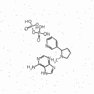 CN1CCCC1c1cccnc1.Nc1ncnc2nc[nH]c12.O=P(O)(O)OP(=O)(O)O